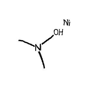 CN(C)O.[Ni]